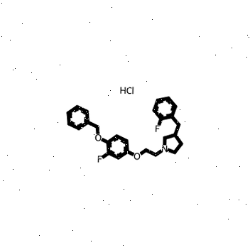 Cl.Fc1ccccc1CC1CCN(CCOc2ccc(OCc3ccccc3)c(F)c2)C1